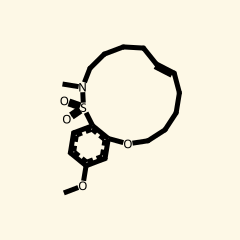 COc1ccc2c(c1)OCCCC/C=C/CCCCN(C)S2(=O)=O